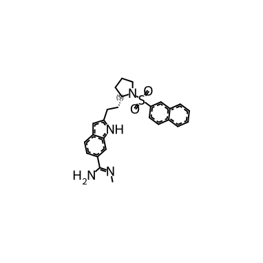 CN=C(N)c1ccc2cc(CC[C@@H]3CCCN3S(=O)(=O)c3ccc4ccccc4c3)[nH]c2c1